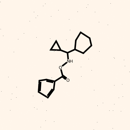 O=C(ONC(C1CCCCC1)C1CC1)c1ccccc1